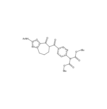 CC(=O)Nc1nc2c(s1)C(=O)C(C(=O)c1ccc(N(C(=O)OC(C)(C)C)C(=O)OC(C)(C)C)nc1)CCC2